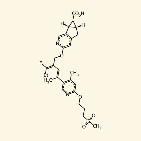 CC/C(F)=C(\C=C(/C)c1cnc(OCCCS(C)(=O)=O)cc1C)COc1cc2c(cn1)[C@H]1[C@@H](C2)[C@@H]1C(=O)O